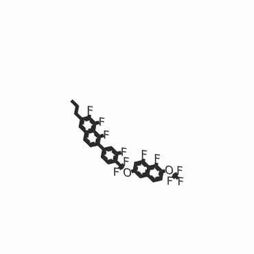 CCCc1cc2ccc(-c3ccc(C(F)(F)Oc4cc(F)c5c(F)c(OC(F)(F)F)ccc5c4)c(F)c3)c(F)c2c(F)c1F